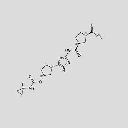 CC1(NC(=O)O[C@@H]2CO[C@H](c3cc(NC(=O)[C@H]4CC[C@@H](C(N)=O)C4)n[nH]3)C2)CC1